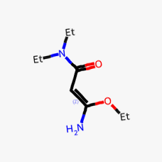 CCO/C(N)=C\C(=O)N(CC)CC